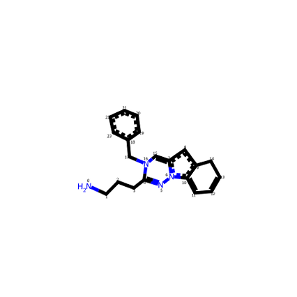 NCCCC1=Nn2c(cc3c2=CC=CC3)=CN1Cc1ccccc1